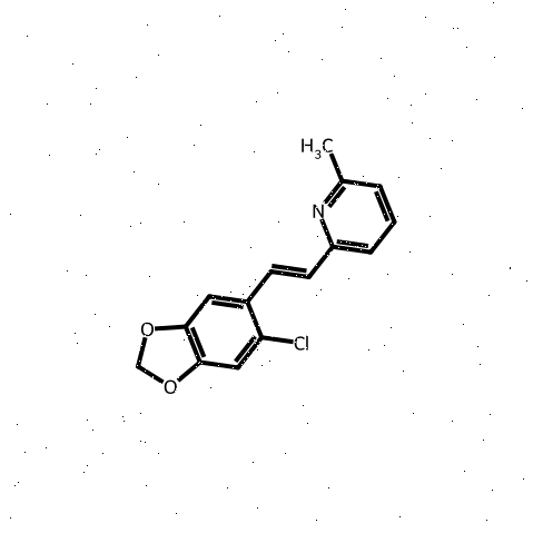 Cc1cccc(C=Cc2cc3c(cc2Cl)OCO3)n1